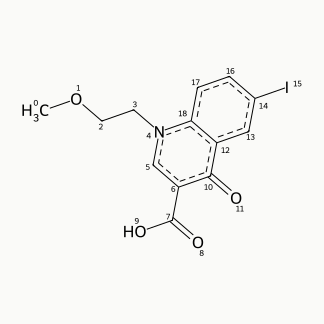 COCCn1cc(C(=O)O)c(=O)c2cc(I)ccc21